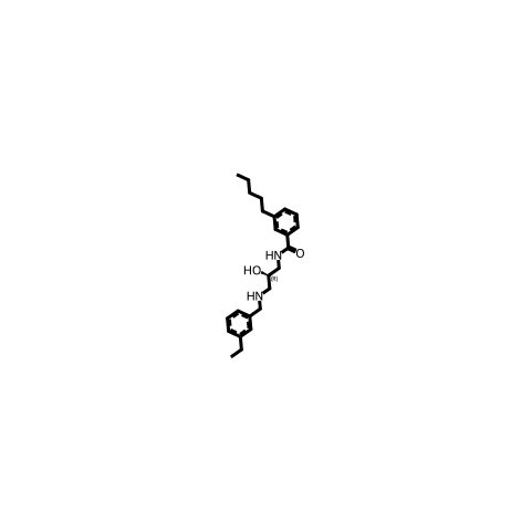 CCCCCc1cccc(C(=O)NC[C@H](O)CNCc2cccc(CC)c2)c1